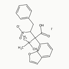 C[N+](C)(C)C(C(=O)O)(c1cccc2ccoc12)C(Cc1ccccc1)[N+](=O)[O-].[I-]